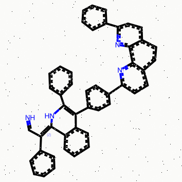 N=C/C(=C1\NC(c2ccccc2)=C(c2ccc(-c3ccc4ccc5ccc(-c6ccccc6)nc5c4n3)cc2)c2ccccc21)c1ccccc1